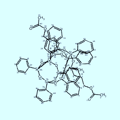 CC(=O)OCCC[Si]1(C)O[Si]2(c3ccccc3)O[Si]3(c4ccccc4)O[Si]4(c5ccccc5)O[Si](C)(CCCOC(C)=O)O[Si]5(c6ccccc6)O[Si](c6ccccc6)(O[Si](c6ccccc6)(O1)O[Si](c1ccccc1)(O5)O[Si](c1ccccc1)(O2)O4)O3